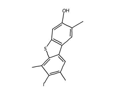 Cc1cc2c(cc1O)sc1c(C)c(I)c(C)cc12